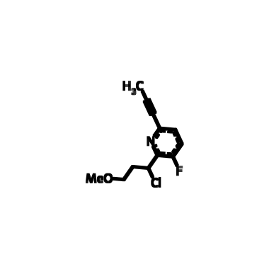 CC#Cc1ccc(F)c(C(Cl)CCOC)n1